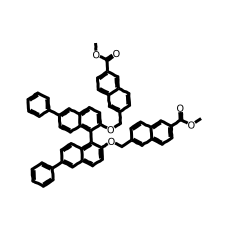 COC(=O)c1ccc2cc(COc3ccc4cc(-c5ccccc5)ccc4c3-c3c(OCc4ccc5cc(C(=O)OC)ccc5c4)ccc4cc(-c5ccccc5)ccc34)ccc2c1